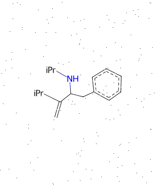 C=C(C(C)C)C(Cc1ccccc1)NC(C)C